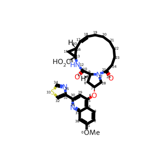 COc1ccc2c(O[C@@H]3C[C@H]4C(=O)N[C@]5(C(=O)O)C[C@H]5/C=C\CCCCCCC(=O)N4C3)cc(-c3cscn3)nc2c1